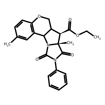 CCOC(=O)[C@@H]1C2COc3ccc(C)cc3C2N2C(=O)N(c3ccccc3)C(=O)[C@@]12C